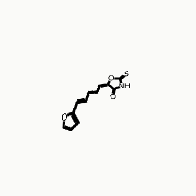 O=C1NC(=S)O/C1=C/C=C/C=C/c1ccco1